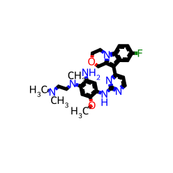 COc1cc(N(C)CCN(C)C)c(N)cc1Nc1nccc(-c2c3n(c4ccc(F)cc24)CCOC3)n1